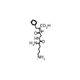 CN(C(=O)CNC(=O)[C@H](N)CCCCN)[C@@H](Cc1ccccc1)C(=O)O